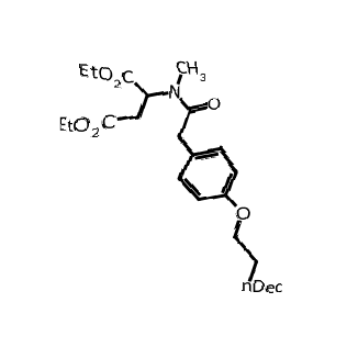 CCCCCCCCCCCCOc1ccc(CC(=O)N(C)C(CC(=O)OCC)C(=O)OCC)cc1